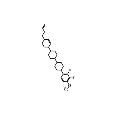 C=CCCC1C=CC(C2CCC(C3CCC(c4ccc(OCC)c(F)c4F)CC3)CC2)CC1